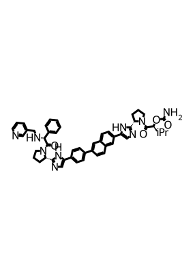 CC(C)[C@H](OC(N)=O)C(=O)N1CCC[C@H]1c1ncc(-c2ccc3cc(-c4ccc(-c5cnc([C@@H]6CCCN6C(=O)[C@H](NCc6cccnc6)c6ccccc6)[nH]5)cc4)ccc3c2)[nH]1